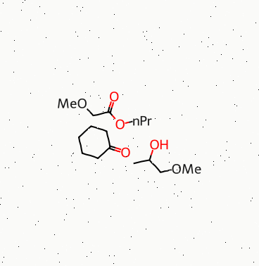 CCCOC(=O)COC.COCC(C)O.O=C1CCCCC1